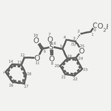 O=C(O)CC[C@H]1CC(S(=O)(=O)C(=O)OCc2ccccc2)c2ccccc2O1